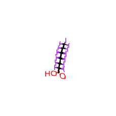 O=C(O)C(I)(I)C(I)(I)C(I)(I)C(I)(I)C(I)(I)C(I)(I)I